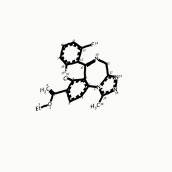 C=C(OCC)c1ccc2c(c1Cl)C(c1c(F)cccc1F)=NCc1nnc(C)n1-2